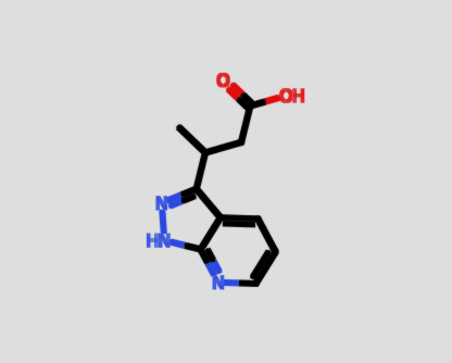 CC(CC(=O)O)c1n[nH]c2ncccc12